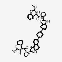 COC(=O)N[C@@H](C(=O)N1CCC[C@H]1c1nc2cc(-c3ccc(-c4ccc5c(ccc6[nH]c([C@@H]7CCCN7C(=O)[C@H](NC(=O)OC)c7ccccc7)nc65)c4)cc3)ccc2[nH]1)c1ccccc1